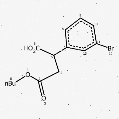 CCCCOC(=O)CC(C(=O)O)c1cccc(Br)c1